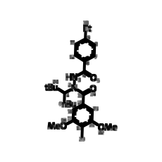 CCCCC(N(NC(=O)c1ccc(CC)cc1)C(=O)c1cc(OC)c(C)c(OC)c1)C(C)(C)C